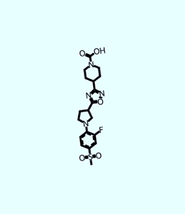 CS(=O)(=O)c1ccc(N2CCC(c3nc(C4CCN(C(=O)O)CC4)no3)C2)c(F)c1